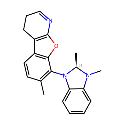 Cc1ccc2c3c(oc2c1N1c2ccccc2N(C)[C@@H]1C)N=CCC3